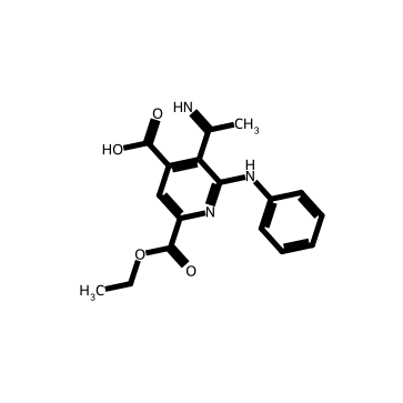 CCOC(=O)c1cc(C(=O)O)c(C(C)=N)c(Nc2ccccc2)n1